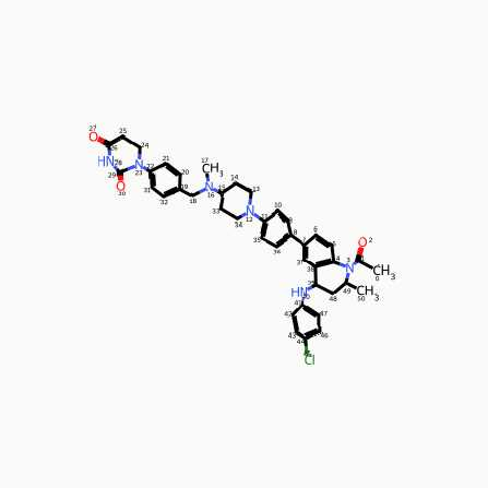 CC(=O)N1c2ccc(-c3ccc(N4CCC(N(C)Cc5ccc(N6CCC(=O)NC6=O)cc5)CC4)cc3)cc2C(Nc2ccc(Cl)cc2)CC1C